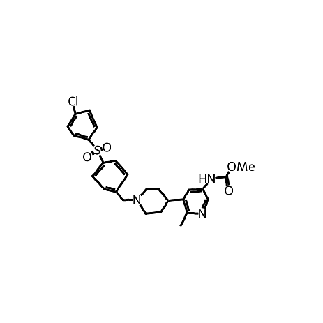 COC(=O)Nc1cnc(C)c(C2CCN(Cc3ccc(S(=O)(=O)c4ccc(Cl)cc4)cc3)CC2)c1